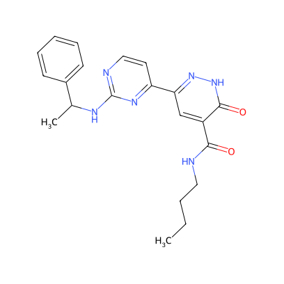 CCCCNC(=O)c1cc(-c2ccnc(NC(C)c3ccccc3)n2)n[nH]c1=O